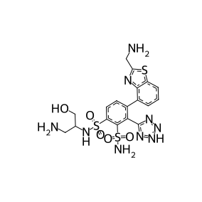 NCc1nc2c(-c3ccc(S(=O)(=O)NC(CN)CO)c(S(N)(=O)=O)c3-c3nn[nH]n3)cccc2s1